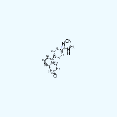 CCN/C(=N\C#N)N1CCN(c2ccnc3cc(Cl)ccc23)CC1